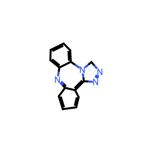 c1ccc2c(c1)N=c1ccccc1=C1N=NCN12